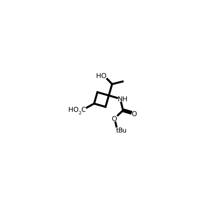 CC(O)C1(NC(=O)OC(C)(C)C)CC(C(=O)O)C1